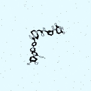 C[C@H]1CC2(CCN(c3ccc(C(=O)N4CCN(CC(=O)Nc5cccc(N[C@H]6CCC(=O)NC6=O)c5)CC4)cc3)CC2)CN1c1ccc(C#N)c(Cl)c1